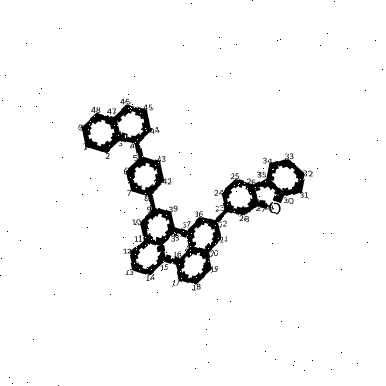 c1ccc2c(-c3ccc(-c4cc5cccc6c7cccc8cc(-c9ccc%10c(c9)oc9ccccc9%10)cc(c(c4)c56)c87)cc3)cccc2c1